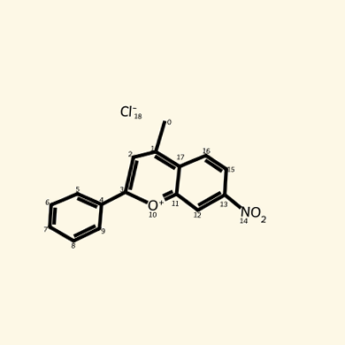 Cc1cc(-c2ccccc2)[o+]c2cc([N+](=O)[O-])ccc12.[Cl-]